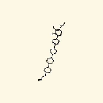 C=CCCC1CCC(C2CCC(C3CCC(c4ccc(-c5ccc(OCC)c(F)c5F)cc4)CC3)CO2)CC1